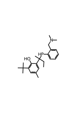 CCC(C)(Pc1ccccc1CN(C)C)c1cc(C)cc(C(C)(C)C)c1O